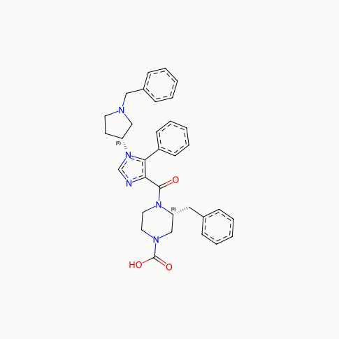 O=C(O)N1CCN(C(=O)c2ncn([C@@H]3CCN(Cc4ccccc4)C3)c2-c2ccccc2)[C@H](Cc2ccccc2)C1